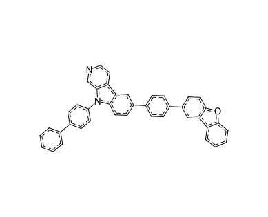 c1ccc(-c2ccc(-n3c4ccc(-c5ccc(-c6ccc7oc8ccccc8c7c6)cc5)cc4c4ccncc43)cc2)cc1